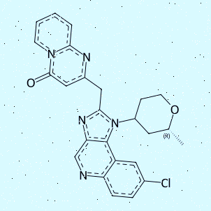 C[C@@H]1CC(n2c(Cc3cc(=O)n4ccccc4n3)nc3cnc4ccc(Cl)cc4c32)CCO1